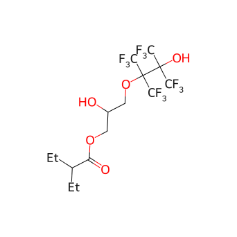 CCC(CC)C(=O)OCC(O)COC(C(F)(F)F)(C(F)(F)F)C(O)(C(F)(F)F)C(F)(F)F